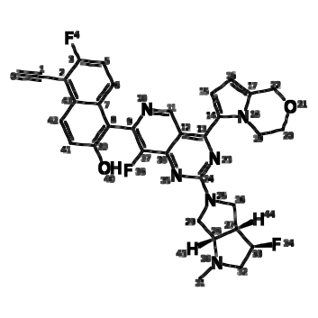 C#Cc1c(F)ccc2c(-c3ncc4c(-c5ccc6n5CCOC6)nc(N5C[C@H]6[C@@H](C5)N(C)C[C@@H]6F)nc4c3F)c(O)ccc12